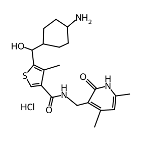 Cc1cc(C)c(CNC(=O)c2csc(C(O)C3CCC(N)CC3)c2C)c(=O)[nH]1.Cl